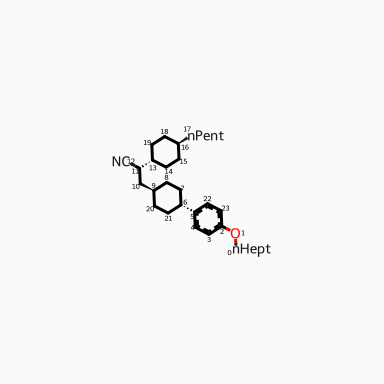 CCCCCCCOc1ccc([C@H]2CC[C@H](CC(C#N)[C@H]3CC[C@H](CCCCC)CC3)CC2)cc1